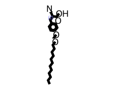 CCCCCCCCCCCCOCOc1ccc(/C=C(/C#N)C(=O)O)cc1